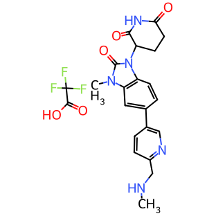 CNCc1ccc(-c2ccc3c(c2)n(C)c(=O)n3C2CCC(=O)NC2=O)cn1.O=C(O)C(F)(F)F